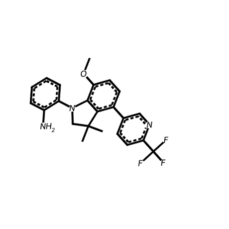 COc1ccc(-c2ccc(C(F)(F)F)nc2)c2c1N(c1ccccc1N)CC2(C)C